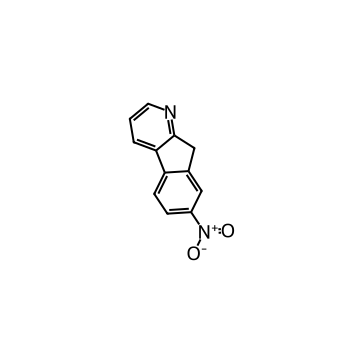 O=[N+]([O-])c1ccc2c(c1)Cc1ncccc1-2